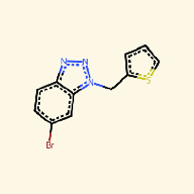 Brc1ccc2nnn(Cc3cccs3)c2c1